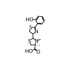 CN1C(C2CSC(c3ccccc3O)=N2)SC[C@]1(C)C(=O)O